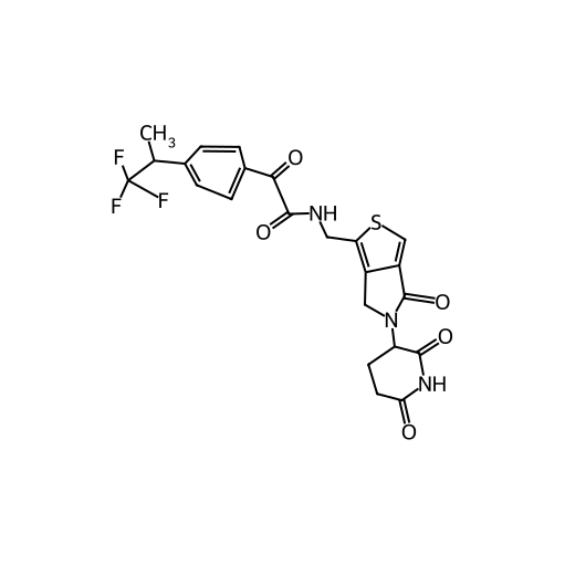 CC(c1ccc(C(=O)C(=O)NCc2scc3c2CN(C2CCC(=O)NC2=O)C3=O)cc1)C(F)(F)F